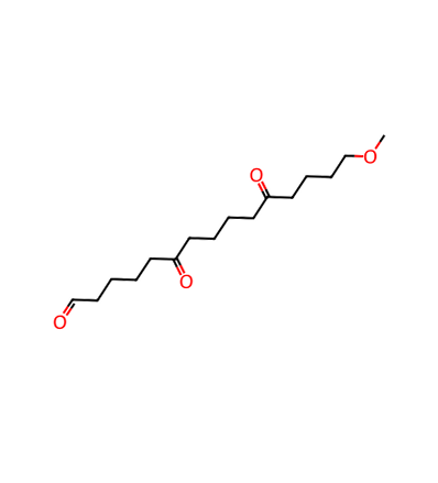 COCCCCC(=O)CCCCC(=O)CCCCC=O